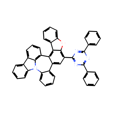 c1ccc(-c2nc(-c3ccccc3)nc(-c3cc4c(c5c3oc3ccccc35)-c3cccc5c6ccccc6n(c35)-c3ccccc3-4)n2)cc1